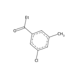 CCC(=O)c1cc(C)cc(Cl)c1